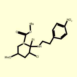 CCC1(NCCc2ccc([N+](=O)[O-])cc2)C(Cl)CC(OC)CN1C(=O)OC(C)(C)C